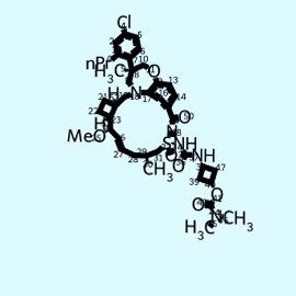 CCCc1cc(Cl)ccc1[C@]1(C)COc2ccc3cc2N(C[C@@H]2CC[C@H]2[C@@H](OC)/C=C/C[C@H](C)C[S@@](=O)(NC(=O)N[C@H]2C[C@H](OC(=O)N(C)C)C2)=NC3=O)C1